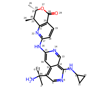 CC[C@@](C)(N)c1cnc(NC2CC2)c2cnc(Nc3ccc4c(n3)[C@@H](C)[C@H](C)OC4=O)cc12